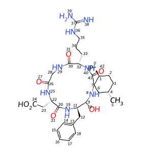 CC(C)[C@H]1CC[C@H](C)CC12NC(O)[C@@H](Cc1ccccc1)NC(=O)[C@H](CC(=O)O)NC(=O)CNC(=O)[C@H](CCCNC(=N)N)NC2=O